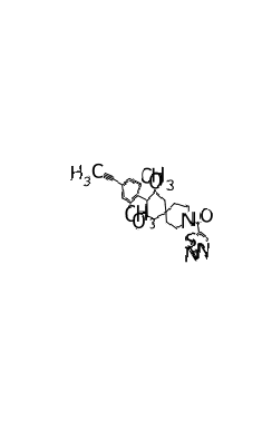 CC#Cc1cc(C)c(C2C(=O)CC3(CCN(C(=O)c4cnns4)CC3)CC2=O)c(C)c1